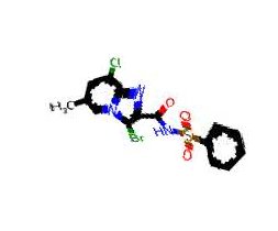 Cc1cc(Cl)c2nc(C(=O)NS(=O)(=O)c3ccccc3)c(Br)n2c1